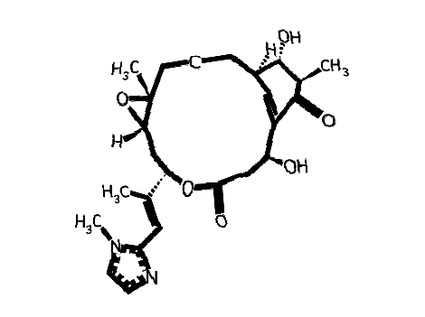 C/C(=C\c1nccn1C)[C@@H]1C[C@@H]2O[C@]2(C)CCC[C@@H]2C=C(C(=O)[C@H](C)[C@H]2O)[C@@H](O)CC(=O)O1